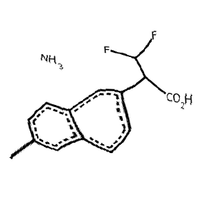 Cc1ccc2cc(C(C(=O)O)C(F)F)ccc2c1.N